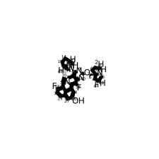 [2H]C1([2H])CC[C@@]2(COc3nc(N4C[C@H]5CC[C@@H](C4)N5)c4cnc(-c5cc(O)cc6ccc(F)c(C#C)c56)c(F)c4n3)C[C@@]([2H])(F)CN12